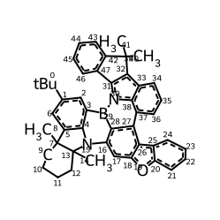 CC(C)(C)c1cc2c3c(c1)C1(C)CCCCC1(C)N3c1cc3oc4ccccc4c3c3c1B2n1c2c(c4cccc-3c41)C(C)(C)c1ccccc1-2